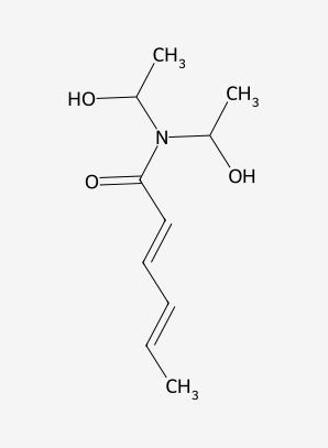 C/C=C/C=C/C(=O)N(C(C)O)C(C)O